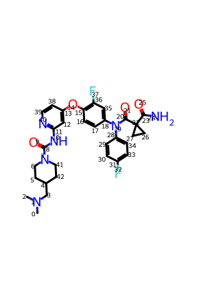 CN(C)CC1CCN(C(=O)Nc2cc(Oc3ccc(N(C(=O)C4(C(N)=O)CC4)c4ccc(F)cc4)cc3F)ccn2)CC1